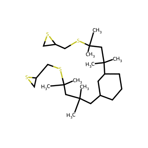 CC(C)(CC1CCCC(C(C)(C)CC(C)(C)SCC2CS2)C1)CC(C)(C)SCC1CS1